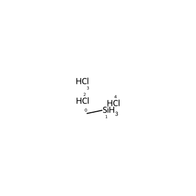 C[SiH3].Cl.Cl.Cl